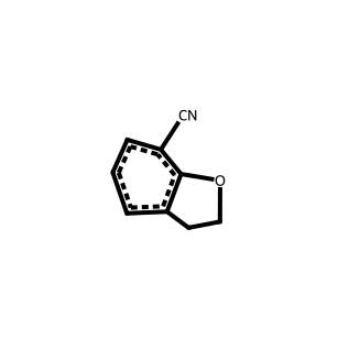 N#Cc1cccc2c1OCC2